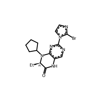 CC[C@@H]1C(=O)Nc2cnc(-n3ccnc3Br)nc2N1C1CCCC1